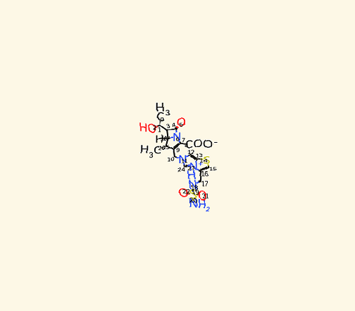 C[C@@H](O)[C@H]1C(=O)N2C(C(=O)[O-])=C(Cn3cc4scc(CNS(N)(=O)=O)[n+]4c3)[C@H](C)[C@H]12